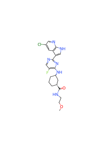 COCCNC(=O)[C@H]1CCC[C@@H](Nc2nc(-c3c[nH]c4ncc(Cl)cc34)ncc2F)C1